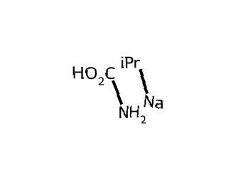 C[CH](C)[Na].NC(=O)O